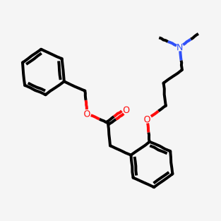 CN(C)CCCOc1ccccc1CC(=O)OCc1ccccc1